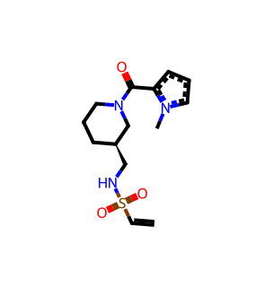 C=CS(=O)(=O)NC[C@H]1CCCN(C(=O)c2cccn2C)C1